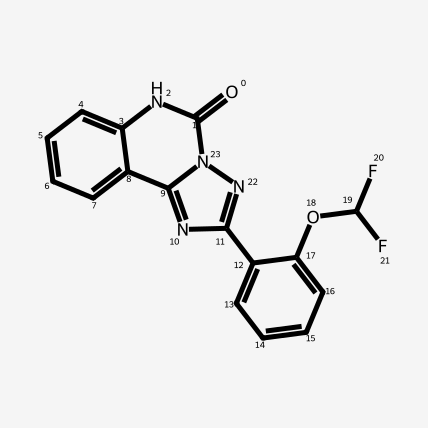 O=c1[nH]c2ccccc2c2nc(-c3ccccc3OC(F)F)nn12